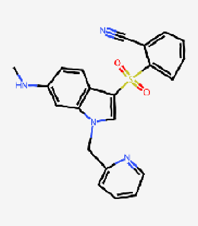 CNc1ccc2c(S(=O)(=O)c3ccccc3C#N)cn(Cc3ccccn3)c2c1